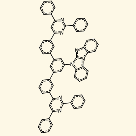 c1ccc(-c2cc(-c3cccc(-c4cc(-c5cccc(-c6cc(-c7ccccc7)nc(-c7ccccc7)n6)c5)cc(-n5c6ccccc6n6c7ccccc7nc56)c4)c3)nc(-c3ccccc3)n2)cc1